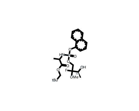 COC(F)(COP(=O)(NC(C)C(=O)OCC(C)(C)C)Oc1cccc2ccccc12)[C@H](C)O